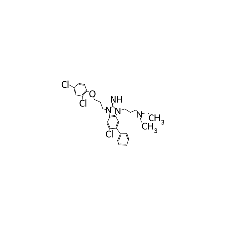 CCN(CC)CCCn1c(=N)n(CCCOc2ccc(Cl)cc2Cl)c2cc(Cl)c(-c3ccccc3)cc21